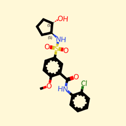 COc1ccc(S(=O)(=O)N[C@H]2CCC[C@@H]2O)cc1C(=O)Nc1ccccc1Cl